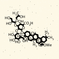 COC(=O)[C@]12CCC(C)(C)CC1C1=CCC3C4(C)CC[C@H](O[C@@H]5OC(C(=O)O)[C@@H](O)C(O[C@H](OC[C@H](C)O)[C@@H](O)CO)C5O[C@@H]5OC(CO)[C@H](O)C(O)[C@@H]5O)[C@](C)(C=O)C4CCC3(C)[C@]1(C)C[C@H]2O